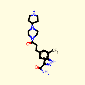 NC(=O)c1n[nH]c2c(C(F)(F)F)cc(C[CH]C(=O)N3CCN(C4CCNCC4)CC3)cc12